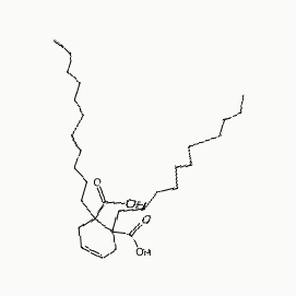 CCCCCCCCCCCC1(C(=O)O)CC=CCC1(CCCCCCCCCCC)C(=O)O